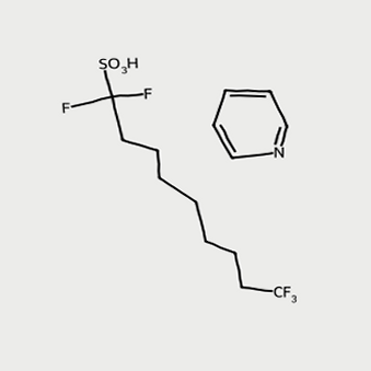 O=S(=O)(O)C(F)(F)CCCCCCCC(F)(F)F.c1ccncc1